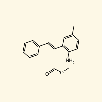 COC=O.Cc1ccc(N)c(C=Cc2ccccc2)c1